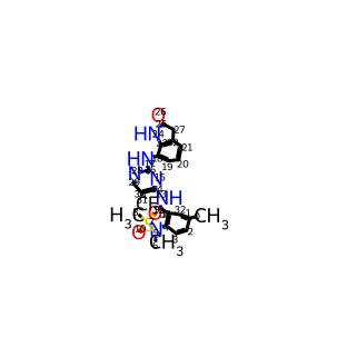 Cc1ccc(N(C)S(C)(=O)=O)c(CNc2nc(Nc3cccc4c3NC(=O)C4)ncc2C(F)(F)F)c1